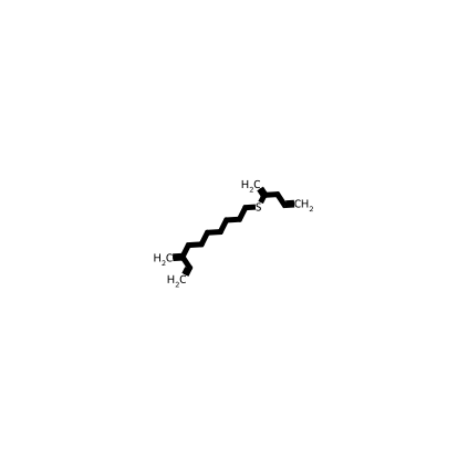 C=CCC(=C)SCCCCCCCC(=C)C=C